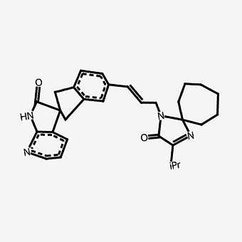 CC(C)C1=NC2(CCCCCC2)N(CC=Cc2ccc3c(c2)CC2(C3)C(=O)Nc3ncccc32)C1=O